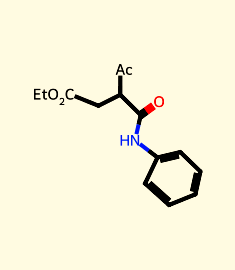 CCOC(=O)CC(C(C)=O)C(=O)Nc1ccccc1